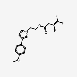 COc1ccc(-c2ccn(CCOC(=O)CC(F)=C(F)F)n2)cc1